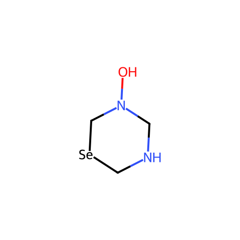 ON1CNC[Se]C1